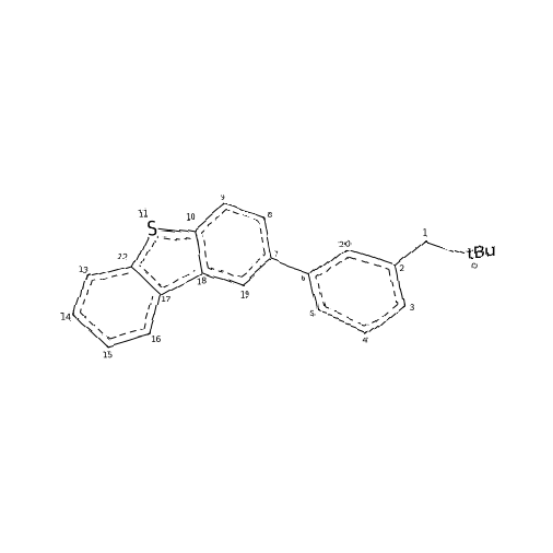 CC(C)(C)Cc1cccc(-c2ccc3sc4ccccc4c3c2)c1